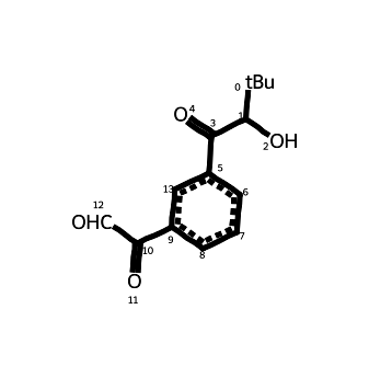 CC(C)(C)C(O)C(=O)c1cccc(C(=O)C=O)c1